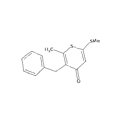 CSc1cc(=O)c(Cc2ccccc2)c(C)s1